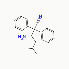 CC(C)C[C@H](N)C(C#N)(c1ccccc1)c1ccccc1